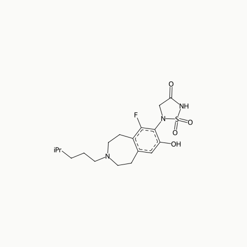 CC(C)CCCN1CCc2cc(O)c(N3CC(=O)NS3(=O)=O)c(F)c2CC1